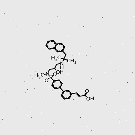 CN(CC(O)CNC(C)(C)Cc1ccc2ccccc2c1)S(=O)(=O)c1ccc(-c2cccc(C=CC(=O)O)c2)cc1